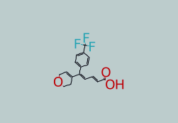 O=C(O)C=CC=C(C1=CCOCC1)c1ccc(C(F)(F)F)cc1